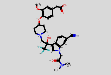 COc1cc(CC(=O)O)ccc1OC1CCN(CC(O)(c2cn(CC(=O)N(C)C)c3cc(C#N)ccc23)C(F)(F)F)CC1